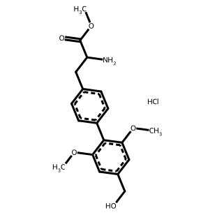 COC(=O)C(N)Cc1ccc(-c2c(OC)cc(CO)cc2OC)cc1.Cl